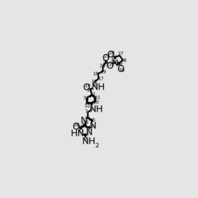 Nc1nc2ncc(CNc3ccc(C(=O)NCCCCCC(=O)ON4C(=O)CCC4=O)cc3)nc2c(=O)[nH]1